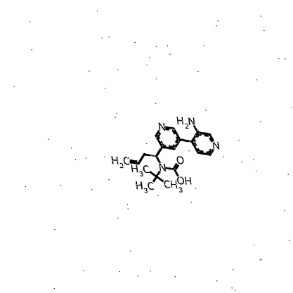 C=CC[C@@H](c1cncc(-c2ccncc2N)c1)N(C(=O)O)C(C)(C)C